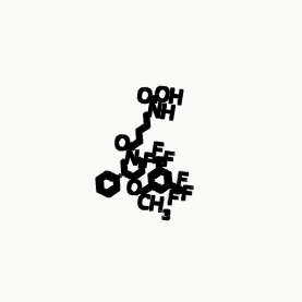 C[C@@H](O[C@H]1CCN(C(=O)CCCCNC(=O)O)C[C@H]1c1ccccc1)c1cc(C(F)(F)F)cc(C(F)(F)F)c1